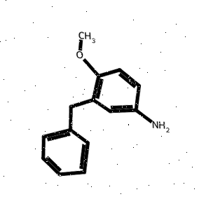 COc1ccc(N)cc1Cc1ccccc1